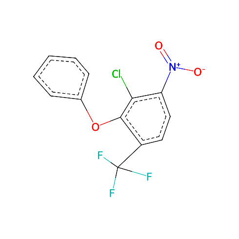 O=[N+]([O-])c1ccc(C(F)(F)F)c(Oc2ccccc2)c1Cl